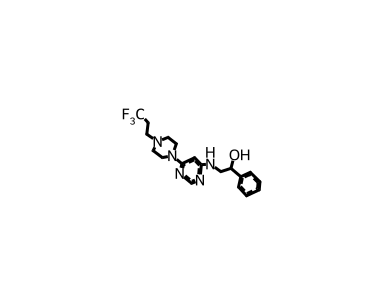 OC(CNc1cc(N2CCN(CCC(F)(F)F)CC2)ncn1)c1ccccc1